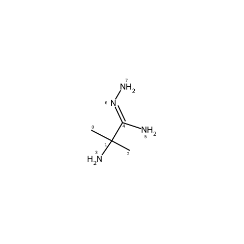 CC(C)(N)/C(N)=N/N